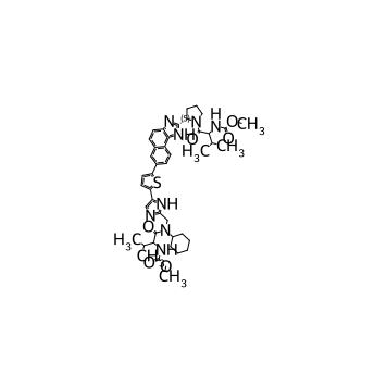 COC(=O)NC(C(=O)N(Cc1ncc(-c2ccc(-c3ccc4c(ccc5nc([C@@H]6CCCN6C(=O)C(NC(=O)OC)C(C)C)[nH]c54)c3)s2)[nH]1)C1CCCCC1)C(C)C